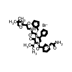 CC(C)[C@@H]1C(=O)N([C@@H](Cc2ccccc2)C(=O)NCC(=O)C2=NC(C)(C)CO2)C(c2ccccc2)=CN1C(=O)c1ccc[n+](CC(N)=O)c1.[Br-]